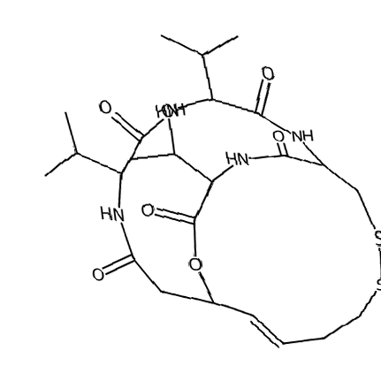 CC(C)C1NC(=O)CC2/C=C/CCSSCC(NC(=O)C(C(C)C)NC1=O)C(=O)NC(C(C)O)C(=O)O2